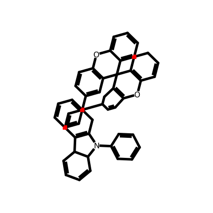 C1=CC2C3=C(CC(c4ccc5c(c4)C4(C6=C(C=CCC6)OC6=C4CC(c4ccccc4)C=C6)c4ccccc4O5)C=C3)N(c3ccccc3)C2C=C1